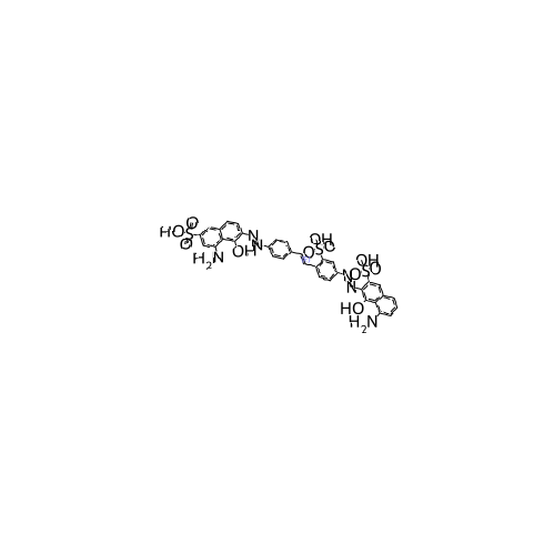 Nc1cc(S(=O)(=O)O)cc2ccc(N=Nc3ccc(/C=C/c4ccc(N=Nc5c(S(=O)(=O)O)cc6cccc(N)c6c5O)cc4S(=O)(=O)O)cc3)c(O)c12